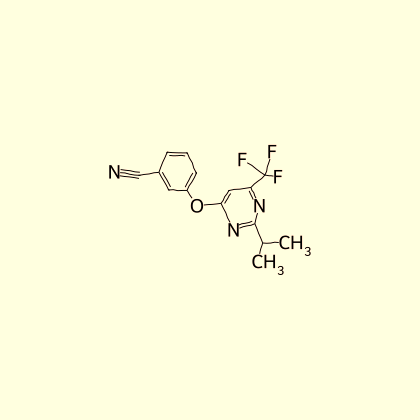 CC(C)c1nc(Oc2cccc(C#N)c2)cc(C(F)(F)F)n1